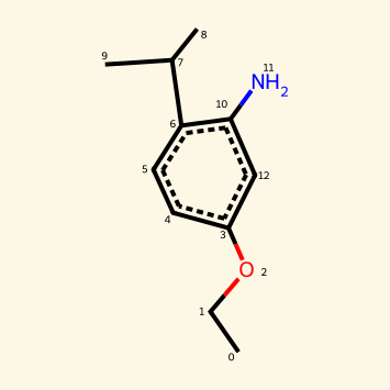 CCOc1ccc(C(C)C)c(N)c1